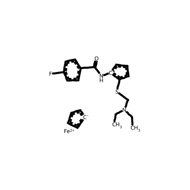 CCN(CC)CSc1ccc[c-]1NC(=O)c1ccc(F)cc1.[Fe+2].c1cc[cH-]c1